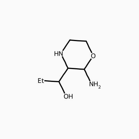 CCC(O)C1NCCOC1N